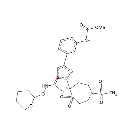 COC(=O)Nc1cccc(-c2ccc([C@@]3(CC(=O)NOC4CCCCO4)CCN(S(C)(=O)=O)CCS3(=O)=O)s2)c1